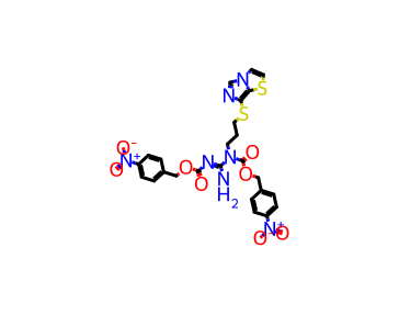 NC(=NC(=O)OCc1ccc([N+](=O)[O-])cc1)N(CCCSc1ncn2ccsc12)C(=O)OCc1ccc([N+](=O)[O-])cc1